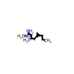 CCCC1CC1CC(C)CC(N)NC